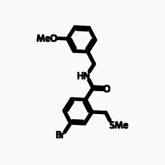 COc1cccc(CNC(=O)c2ccc(Br)cc2CSC)c1